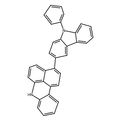 c1ccc(-n2c3ccccc3c3cc(-c4ccc5c6c(cccc46)Nc4ccccc4-5)ccc32)cc1